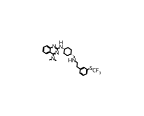 CN(C)c1nc(N[C@H]2CC[C@@H](CNCCc3cccc(SC(F)(F)F)c3)CC2)nc2ccccc12